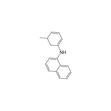 CC1C=CC=C(Nc2cccc3ccccc23)C1